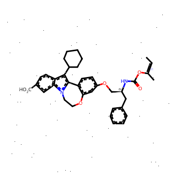 C/C=C(/C)OC(=O)N[C@H](COc1ccc2c(c1)OCCn1c-2c(C2CCCCC2)c2ccc(C(=O)O)cc21)Cc1ccccc1